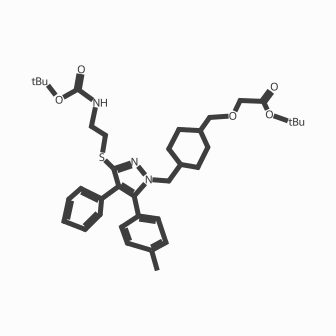 Cc1ccc(-c2c(-c3ccccc3)c(SCCNC(=O)OC(C)(C)C)nn2CC2CCC(COCC(=O)OC(C)(C)C)CC2)cc1